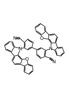 N#Cc1ccc(-c2ccc(C#N)c(-n3c4ccccc4c4ccc5c6ccccc6oc5c43)c2)cc1-n1c2ccccc2c2ccc3c4ccccc4oc3c21